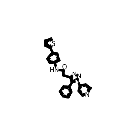 O=C(Cc1nnn(-c2ccncc2)c1-c1ccccc1)Nc1ccc(-c2cccs2)cc1